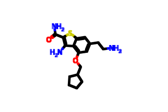 NCCc1cc(OCC2CCCC2)c2c(N)c(C(N)=O)sc2c1